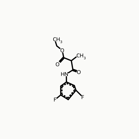 CCOC(=O)C(C)C(=O)Nc1cc(F)cc(F)c1